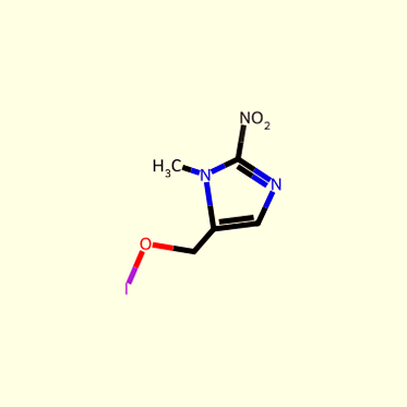 Cn1c(COI)cnc1[N+](=O)[O-]